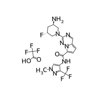 Cn1cc(NC(=O)c2ccc3cnc(N4C[C@H](N)C[C@@H](F)C4)nn23)c(C(F)(F)F)n1.O=C(O)C(F)(F)F